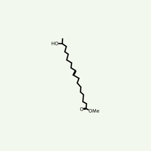 COC(=O)CCCCCCCC=CCCCCCCC(C)O